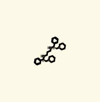 c1ccc([C@H](CN2CCCCC2)NCCCN[C@@H](CN2CCCCC2)c2ccccc2)cc1